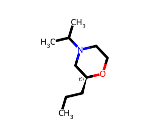 CCC[C@H]1CN(C(C)C)CCO1